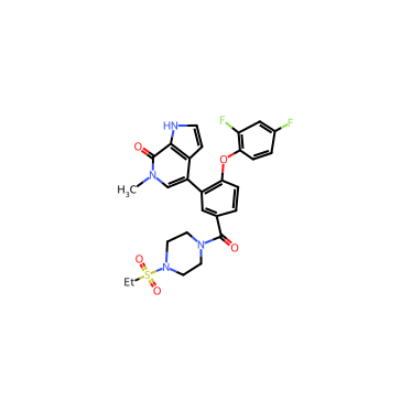 CCS(=O)(=O)N1CCN(C(=O)c2ccc(Oc3ccc(F)cc3F)c(-c3cn(C)c(=O)c4[nH]ccc34)c2)CC1